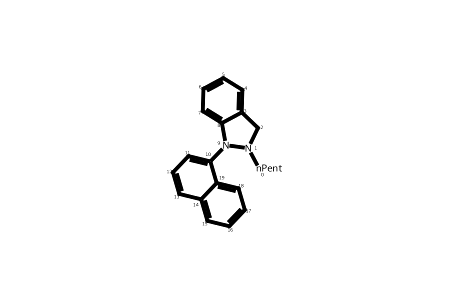 CCCCCN1Cc2ccccc2N1c1cccc2ccccc12